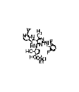 CCS(=O)(=O)C[C@H]1C[C@@H](Nc2nc(NCc3c(F)cccc3F)nc(C)c2-c2nc3c(C4CC4)nccc3s2)[C@H](O)[C@@H]1O